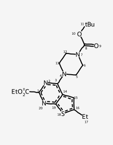 CCOC(=O)c1nc(N2CCN(C(=O)OC(C)(C)C)CC2)c2cc(CC)sc2n1